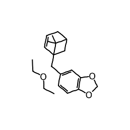 CC1(C)C2CC=CC1(Cc1ccc3c(c1)OCO3)C2.CCOCC